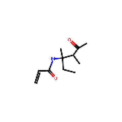 C=CC(=O)NC(C)(CC)C(C)C(C)=O